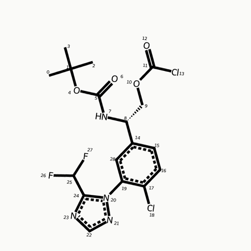 CC(C)(C)OC(=O)N[C@H](COC(=O)Cl)c1ccc(Cl)c(-n2ncnc2C(F)F)c1